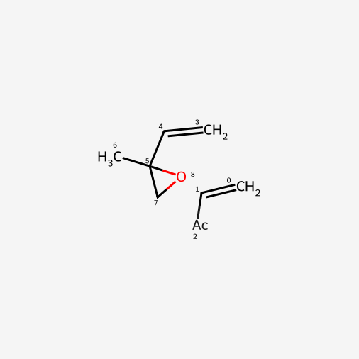 C=CC(C)=O.C=CC1(C)CO1